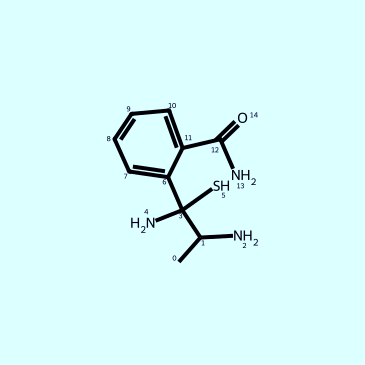 CC(N)C(N)(S)c1ccccc1C(N)=O